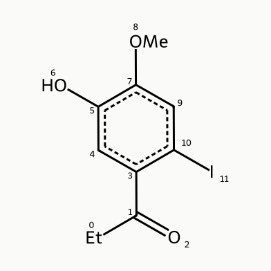 CCC(=O)c1cc(O)c(OC)cc1I